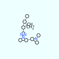 CC1(C)c2cc(-c3ccccc3)ccc2-c2ccc(-c3cnc(-n4c5ccccc5c5ccc(-c6ccc7c(c6)c6ccccc6n7-c6ccccc6)cc54)nc3)cc21